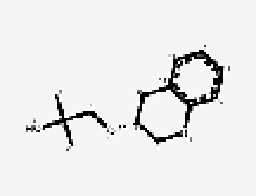 CC(C)(O)CO[C@H]1COc2ccccc2C1